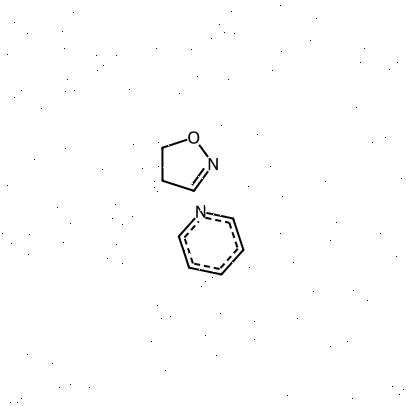 C1=NOCC1.c1ccncc1